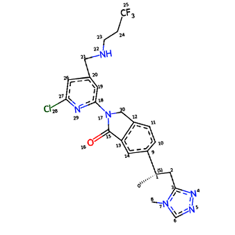 C[C@@H](Cc1nncn1C)c1ccc2c(c1)C(=O)N(c1cc(CNCCC(F)(F)F)cc(Cl)n1)C2